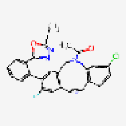 CC(=O)N1Cc2cc(-c3ccccc3-c3nnc(C)o3)c(F)cc2/C=C\c2ccc(Cl)cc21